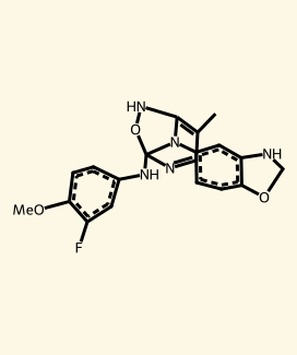 COc1ccc(NC23N=CC(C)=C(NO2)N3c2ccc3c(c2)NCO3)cc1F